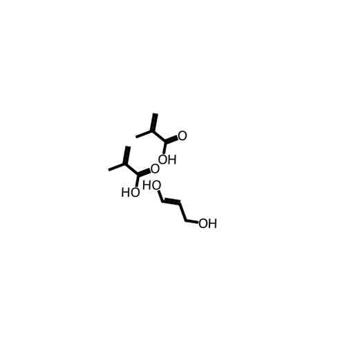 C=C(C)C(=O)O.C=C(C)C(=O)O.OC=CCO